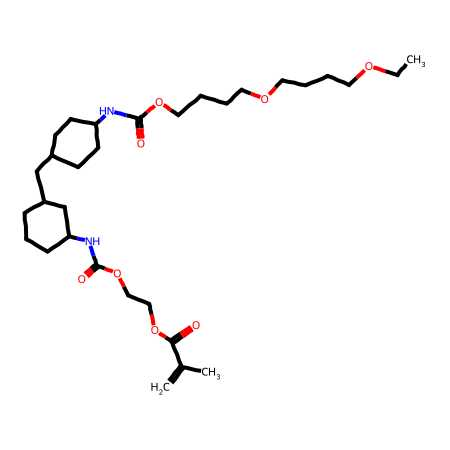 C=C(C)C(=O)OCCOC(=O)NC1CCCC(CC2CCC(NC(=O)OCCCCOCCCCOCC)CC2)C1